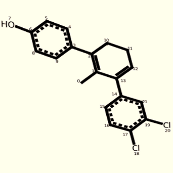 CC1=C(c2ccc(O)cc2)[CH]CC=C1c1ccc(Cl)c(Cl)c1